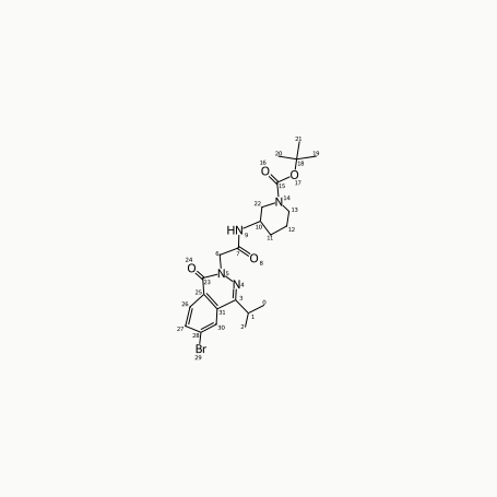 CC(C)c1nn(CC(=O)NC2CCCN(C(=O)OC(C)(C)C)C2)c(=O)c2ccc(Br)cc12